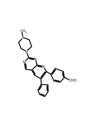 CN1CCN(c2ncc3cc(-c4ccccc4)c(-c4ccc(C=O)cc4)nc3n2)CC1